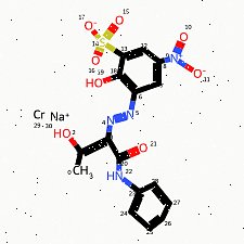 C/C(O)=C(/N=N/c1cc([N+](=O)[O-])cc(S(=O)(=O)[O-])c1O)C(=O)Nc1ccccc1.[Cr].[Na+]